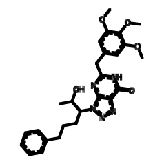 COc1cc(Cc2nc3c(nnn3C(CCCc3ccccc3)C(C)O)c(=O)[nH]2)cc(OC)c1OC